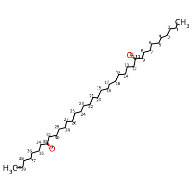 CCCCCCCCCCC(=O)CCCCCCCCCCCCCCCCCCCCC(=O)CCCCCCC